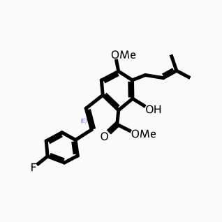 COC(=O)c1c(/C=C/c2ccc(F)cc2)cc(OC)c(CC=C(C)C)c1O